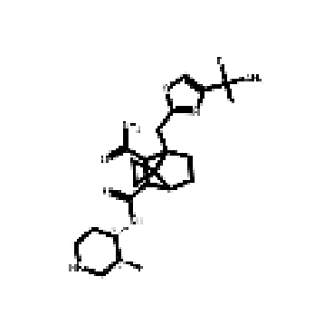 CC(F)(F)c1coc(CC23CCC(C(C(=O)N[C@H]4CCNC[C@@H]4F)C2C(N)=O)C32CC2)n1